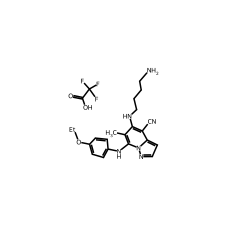 CCOc1ccc(Nc2c(C)c(NCCCCN)c(C#N)c3ccnn23)cc1.O=C(O)C(F)(F)F